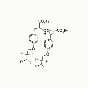 CCOC(=O)C(O)Cc1ccc(OCC(F)(F)C(F)F)cc1.CCOC(=O)C1OC1c1ccc(OCC(F)(F)C(F)F)cc1